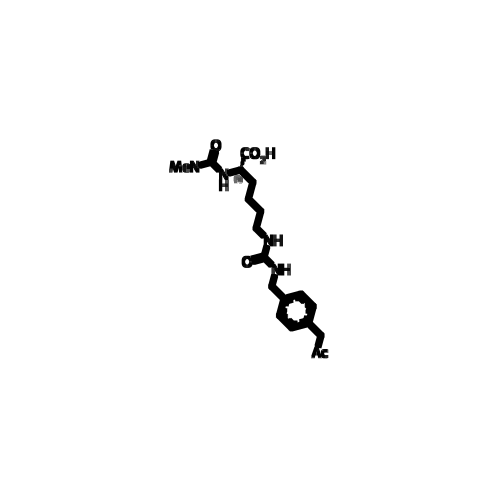 CNC(=O)N[C@@H](CCCCNC(=O)NCc1ccc(CC(C)=O)cc1)C(=O)O